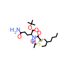 CCCCC(CC)C[C@H](SC(C)=O)C(=O)NC(CCC(N)=O)C(=O)OC(C)(C)C